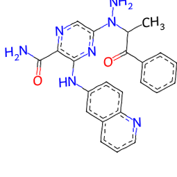 CC(C(=O)c1ccccc1)N(N)c1cnc(C(N)=O)c(Nc2ccc3ncccc3c2)n1